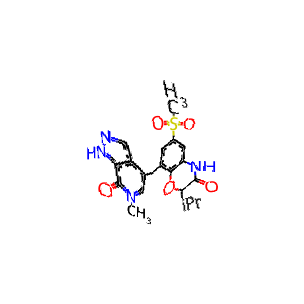 CC(C)C1Oc2c(cc(S(C)(=O)=O)cc2-c2cn(C)c(=O)c3[nH]ncc23)NC1=O